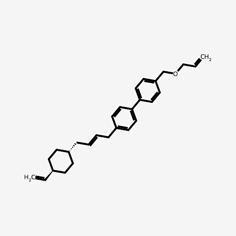 C=CCOCc1ccc(-c2ccc(CC=CC[C@H]3CC[C@H](C=C)CC3)cc2)cc1